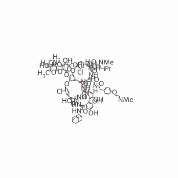 CNCCOc1ccc(CC(=O)NC(=O)C[C@@H]2NC(=O)[C@H](NC(=O)[C@@H](CC(C)C)NC)[C@H](O)c3ccc(c(Cl)c3)Oc3cc4cc(c3O[C@@H]3O[C@H](CO)[C@@H](O)[C@H](O)[C@H]3O[C@H]3C[C@](C)(N)[C@H](O)[C@H](C)O3)Oc3ccc(cc3Cl)[C@@H](O)[C@@H]3NC(=O)[C@H](NC(=O)[C@@H]4NC2=O)c2ccc(O)c(c2)-c2c(O)cc(O)cc2[C@@H](C(=O)NC2C4CC5CC(C4)CC2C5)NC3=O)cc1